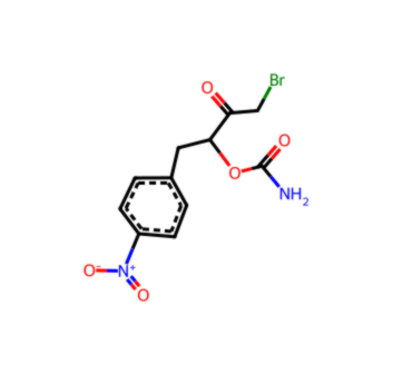 NC(=O)OC(Cc1ccc([N+](=O)[O-])cc1)C(=O)CBr